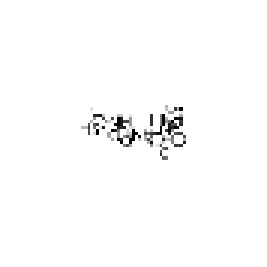 CC(=O)NS(=O)(=O)c1ccccc1-c1ccc(CNC(=O)CC(=O)N[C@@H](CS)CC(C)C)cc1Cl